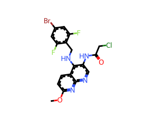 COc1ccc2c(NCc3c(F)cc(Br)cc3F)c(NC(=O)CCl)cnc2n1